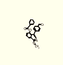 COc1ncc(-c2ccc(C=O)cc2)c2c(OC(=O)c3ccccc3)cccc12